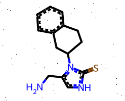 NCc1c[nH]c(=S)n1C1CCc2ccccc2C1